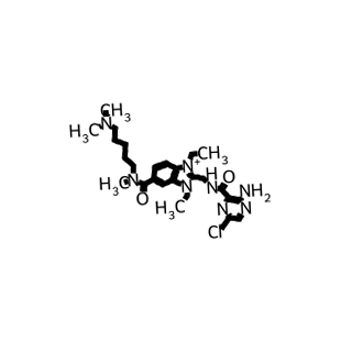 CCn1c(CNC(=O)c2nc(Cl)cnc2N)[n+](CC)c2ccc(C(=O)N(C)CCCCCN(C)C)cc21